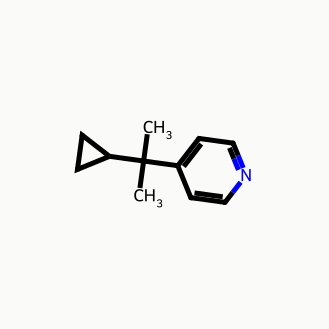 CC(C)(c1ccncc1)C1CC1